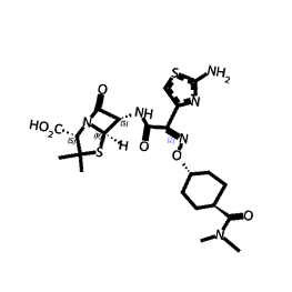 CN(C)C(=O)[C@H]1CC[C@H](O/N=C(\C(=O)N[C@H]2C(=O)N3[C@@H]2SC(C)(C)[C@@H]3C(=O)O)c2csc(N)n2)CC1